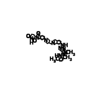 Cc1cccc(C)c1Nc1nn(C)c2nc(Nc3ccc4c(c3)CN(CC3CCN(c5ccc6c(c5)CN(C5CCC(=O)NC5=O)C6=O)CC3)CC4)ncc12